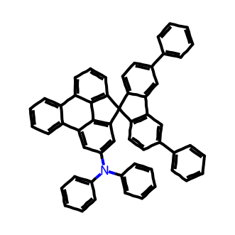 c1ccc(-c2ccc3c(c2)-c2cc(-c4ccccc4)ccc2C32c3cccc4c5ccccc5c5cc(N(c6ccccc6)c6ccccc6)cc2c5c34)cc1